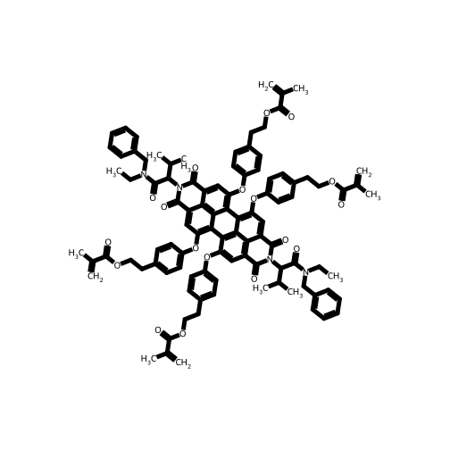 C=C(C)C(=O)OCCc1ccc(Oc2cc3c4c(cc(Oc5ccc(CCOC(=O)C(=C)C)cc5)c5c6c(Oc7ccc(CCOC(=O)C(=C)C)cc7)cc7c8c(cc(Oc9ccc(CCOC(=O)C(=C)C)cc9)c(c2c45)c86)C(=O)N(C(C(=O)N(CC)Cc2ccccc2)C(C)C)C7=O)C(=O)N(C(C(=O)N(CC)Cc2ccccc2)C(C)C)C3=O)cc1